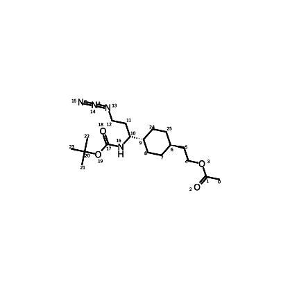 CC(=O)OCC[C@H]1CC[C@H](C(CCN=[N+]=[N-])NC(=O)OC(C)(C)C)CC1